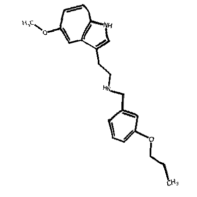 CCCOc1cccc(CNCCc2c[nH]c3ccc(OC)cc23)c1